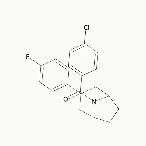 O=C(c1ccc(Cl)cc1)N1C2CCC1CC(c1ccc(F)cc1)C2